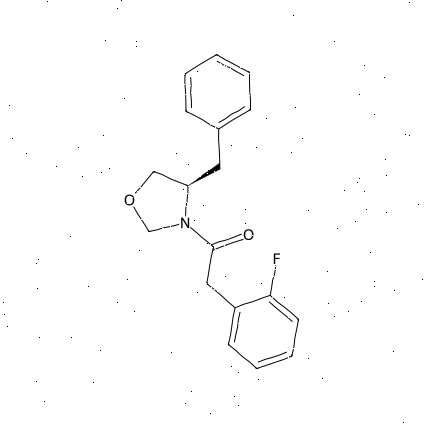 O=C(Cc1ccccc1F)N1COC[C@H]1Cc1ccccc1